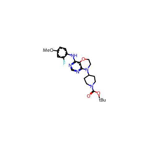 COc1ccc(Nc2ncnc3c2OCCN3C2CCN(C(=O)OC(C)(C)C)CC2)c(F)c1